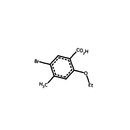 CCOc1cc(C)c(Br)cc1C(=O)O